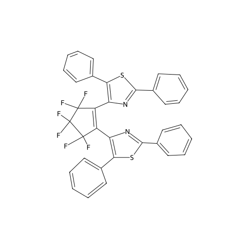 FC1(F)C(c2nc(-c3ccccc3)sc2-c2ccccc2)=C(c2nc(-c3ccccc3)sc2-c2ccccc2)C(F)(F)C1(F)F